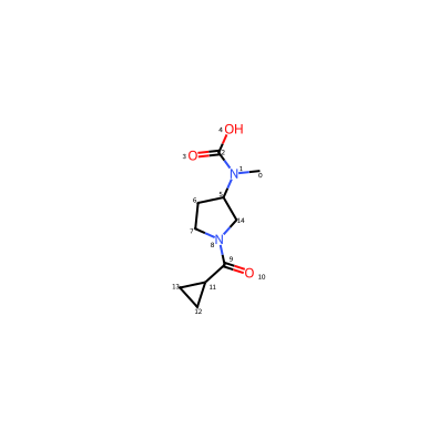 CN(C(=O)O)C1CCN(C(=O)C2CC2)C1